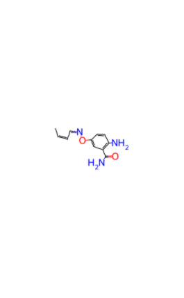 C/C=C\C=N/Oc1ccc(N)c(C(N)=O)c1